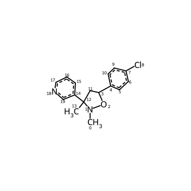 CN1OC(c2ccc(Cl)cc2)CC1(C)c1cccnc1